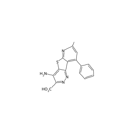 Cc1cc(-c2ccccc2)c2c(n1)sc1c(N)c(C(=O)O)nnc12